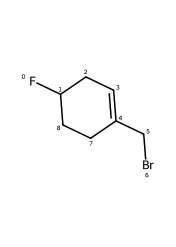 FC1CC=C(CBr)CC1